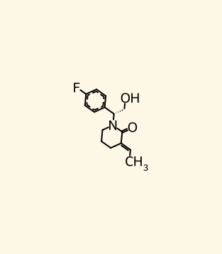 C/C=C1\CCCN([C@@H](CO)c2ccc(F)cc2)C1=O